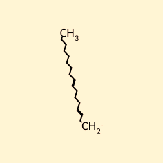 [CH2]CC=CCCCC=CCCCCCCCC